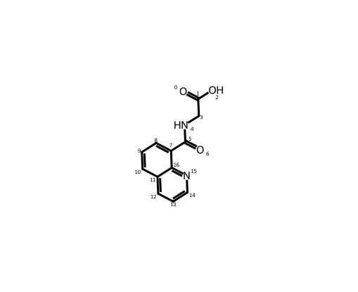 O=C(O)CNC(=O)c1cccc2cccnc12